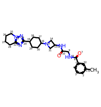 Cc1cccc(C(=O)NCC(=O)NC2CN(C3CCC(c4nc5n(n4)CCCC5)CC3)C2)c1